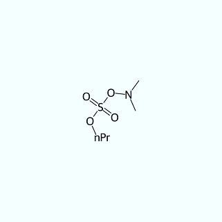 CCCOS(=O)(=O)ON(C)C